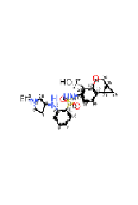 CCN1CC[C@H](Nc2ccccc2S(=O)(=O)Nc2ccc3c(c2C(=O)O)OCC2CC32)C1